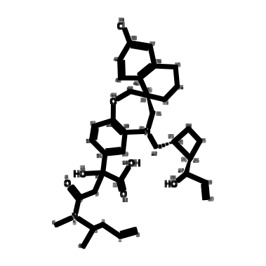 C=CCC(C)N(C)C(=O)CC(O)(C(=O)O)c1ccc2c(c1)N(C[C@@H]1CC[C@H]1C(O)C=C)C[C@@]1(CCCc3cc(Cl)ccc31)CO2